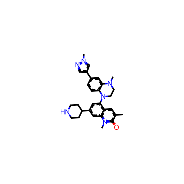 Cc1cc2c(N3CCN(C)c4cc(-c5cnn(C)c5)ccc43)cc(C3CCNCC3)cc2n(C)c1=O